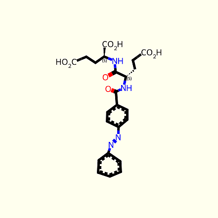 O=C(O)CC[C@H](NC(=O)[C@H](CCC(=O)O)NC(=O)c1ccc(N=Nc2ccccc2)cc1)C(=O)O